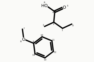 CCC(C)C(=O)O.COc1ccccc1